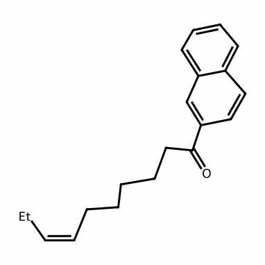 CC/C=C\CCCCCC(=O)c1ccc2ccccc2c1